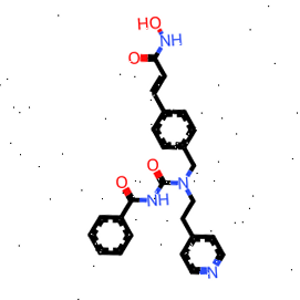 O=C(C=Cc1ccc(CN(CCc2ccncc2)C(=O)NC(=O)c2ccccc2)cc1)NO